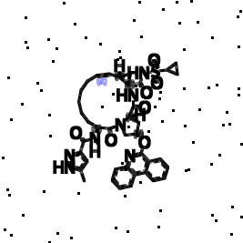 Cc1cc(C(=O)N[C@H]2CCCCC/C=C\[C@@H]3C[C@@]3(C(=O)NS(=O)(=O)C3CC3)NC(=O)[C@@H]3C[C@@H](Oc4nc5ccccc5c5ccccc45)CN3C2=O)n[nH]1